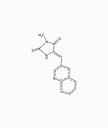 CN1C(=O)N/C(=C\c2cnc3ccccc3c2)C1=O